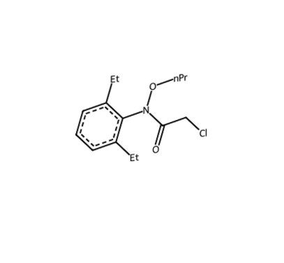 CCCON(C(=O)CCl)c1c(CC)cccc1CC